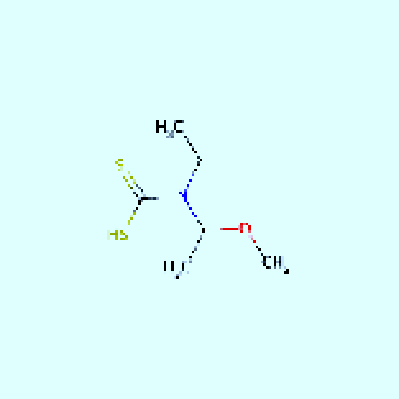 CCN(C(=S)S)C(C)OC